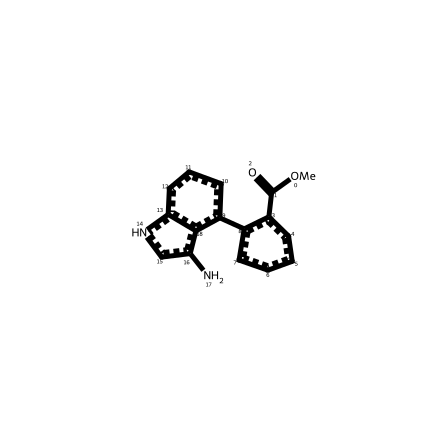 COC(=O)c1ccccc1-c1cccc2[nH]cc(N)c12